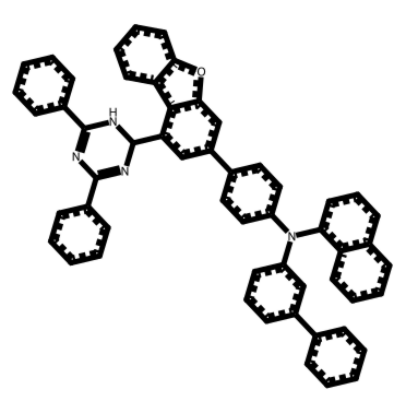 c1ccc(C2=NC(c3cc(-c4ccc(N(c5cccc(-c6ccccc6)c5)c5cccc6ccccc56)cc4)cc4oc5ccccc5c34)NC(c3ccccc3)=N2)cc1